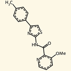 COc1cccnc1C(=O)Nc1nc(-c2ccc(C)cc2)cs1